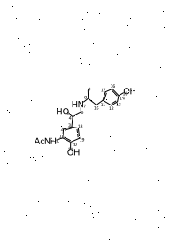 CC(=O)Nc1cc(C(O)CNC(C)Cc2ccc(O)cc2)ccc1O